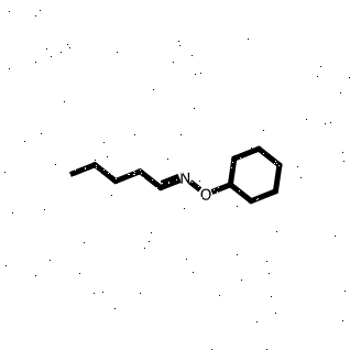 CCCCC=NOC1CCCCC1